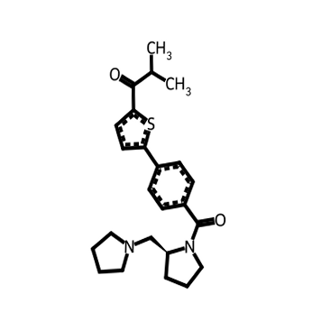 CC(C)C(=O)c1ccc(-c2ccc(C(=O)N3CCC[C@H]3CN3CCCC3)cc2)s1